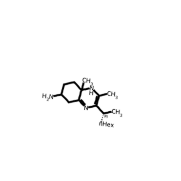 CCCCCC[C@@H](C)C1=C(C)NC2(C)CCC(N)CC2=N1